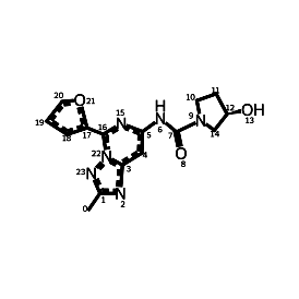 Cc1nc2cc(NC(=O)N3CC[C@@H](O)C3)nc(-c3ccco3)n2n1